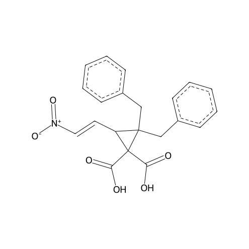 O=C(O)C1(C(=O)O)C(/C=C/[N+](=O)[O-])C1(Cc1ccccc1)Cc1ccccc1